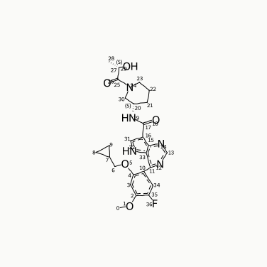 COc1cc(OCC2CC2)c(-c2ncnc3c(C(=O)N[C@H]4CCCN(C(=O)[C@H](C)O)C4)c[nH]c23)cc1F